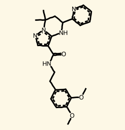 COc1ccc(CCNC(=O)c2cnn3c2NC(c2ccccn2)CC3(C)C)cc1OC